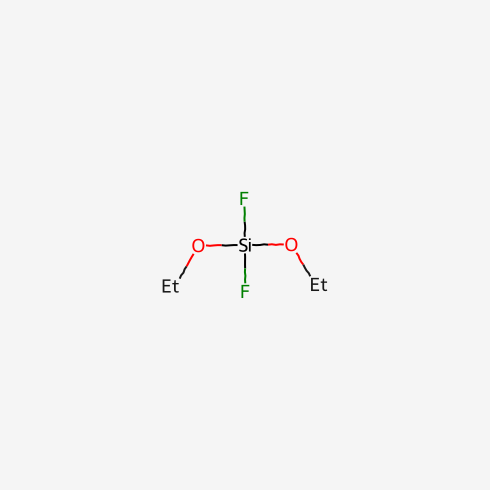 CCO[Si](F)(F)OCC